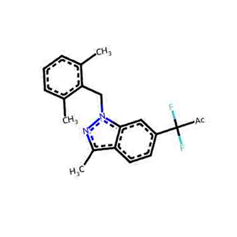 CC(=O)C(F)(F)c1ccc2c(C)nn(Cc3c(C)cccc3C)c2c1